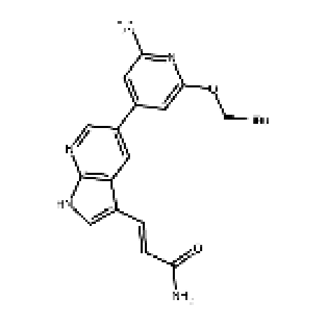 CC[C@H](C)COc1cc(-c2cnc3[nH]cc(C=CC(N)=O)c3c2)cc(C(F)(F)F)n1